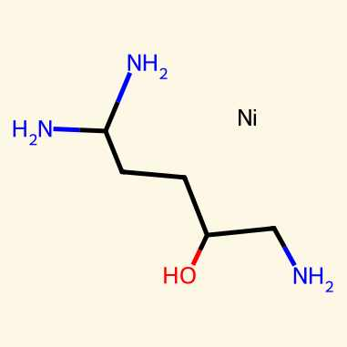 NCC(O)CCC(N)N.[Ni]